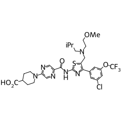 COCCN(Cc1sc(NC(=O)c2cnc(N3CCC(C(=O)O)CC3)cn2)nc1-c1cc(Cl)cc(OC(F)(F)F)c1)CC(C)C